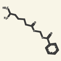 CC(CCCCC(=O)OCOC(=O)c1ccccc1)C(=O)O